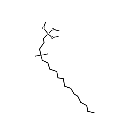 CCCCCCCCCCCCCC[N+](C)(C)CCC[Si](OC)(OC)OC